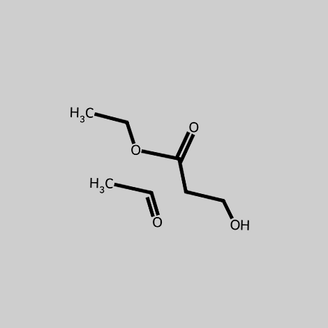 CC=O.CCOC(=O)CCO